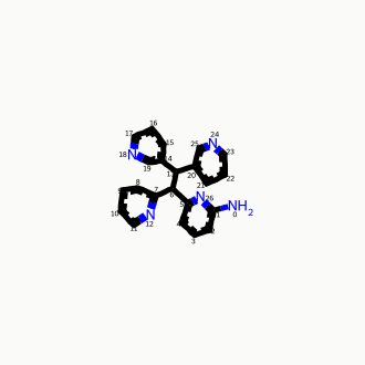 Nc1cccc(C(c2ccccn2)C(c2cccnc2)c2cccnc2)n1